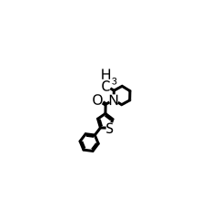 CC1CCCCN1C(=O)c1csc(-c2ccccc2)c1